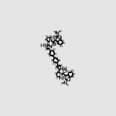 CN(C)C(=O)N[C@@H](C(=O)N1CCC[C@H]1c1nc(-c2ccc(-c3ccc(-c4c[nH]c([C@@H]5CCCN5C(=O)[C@H](NC(=O)N(C)C)c5ccccc5)n4)cc3)cc2)c[nH]1)c1ccccc1